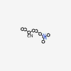 N#Cc1cc(-c2ccc3ccccc3c2)cc(-c2ccc3ccc(-c4ccc(-c5cc(-c6ccccc6)nc(-c6ccccc6)n5)cc4)cc3c2)c1